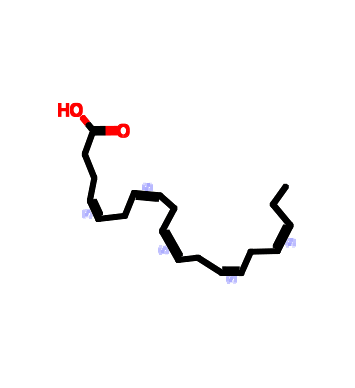 CC/C=C\C/C=C\C/C=C\C/C=C\C/C=C\CCC(=O)O